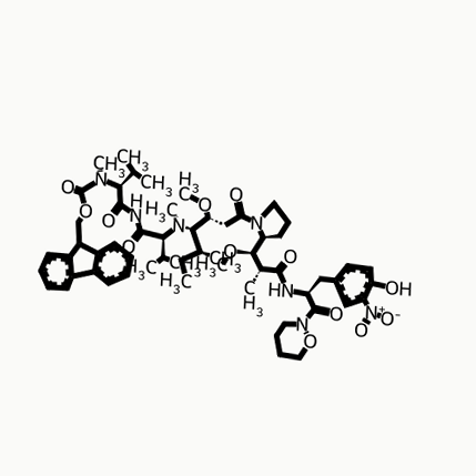 CC[C@H](C)[C@@H]([C@@H](CC(=O)N1CCC[C@H]1[C@H](OC)[C@@H](C)C(=O)N[C@@H](Cc1ccc(O)c([N+](=O)[O-])c1)C(=O)N1CCCCO1)OC)N(C)[C@H](C(=O)NC(=O)[C@H](C(C)C)N(C)C(=O)OCC1c2ccccc2-c2ccccc21)C(C)C